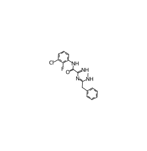 CN/C(Cc1ccccc1)=N\C(=N)C(=O)Nc1cccc(Cl)c1F